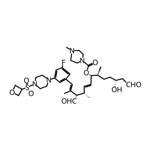 C/C(=C\c1cc(F)cc(N2CCN(S(=O)(=O)C3COC3)CC2)c1)[C@@H](C=O)[C@@H](C)/C=C/[C@H](OC(=O)N1CCN(C)CC1)[C@@H](C)CC[C@@H](O)CC=O